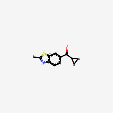 Cc1nc2ccc(C(=O)C3CC3)cc2s1